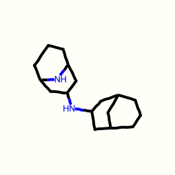 C1CC2CC(C1)CC(NC1CC3CCCC(C1)N3)C2